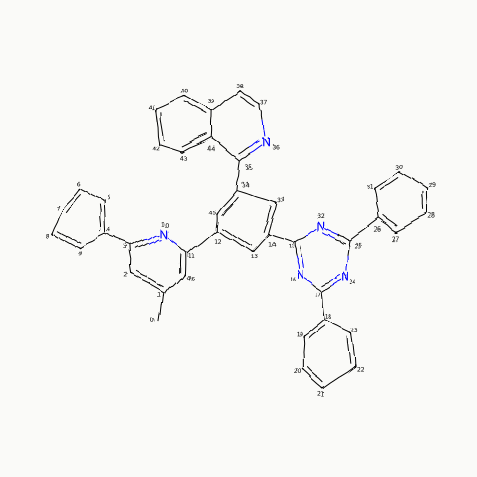 Cc1cc(-c2ccccc2)nc(-c2cc(-c3nc(-c4ccccc4)nc(-c4ccccc4)n3)cc(-c3nccc4ccccc34)c2)c1